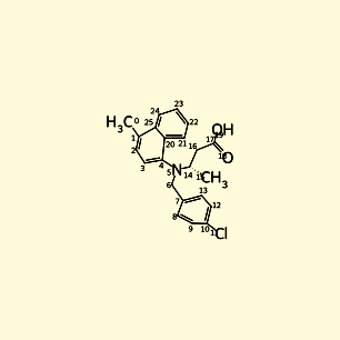 Cc1ccc(N(Cc2ccc(Cl)cc2)[C@@H](C)CC(=O)O)c2ccccc12